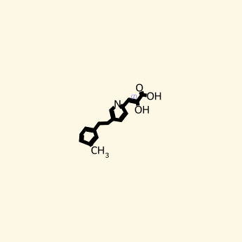 Cc1cccc(CCc2ccc(/C=C(\O)C(=O)O)nc2)c1